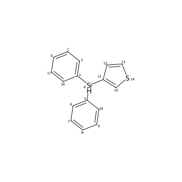 c1ccc([SiH](c2ccccc2)c2ccsc2)cc1